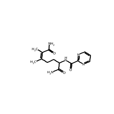 CC(CCC(NC(=O)c1ncccn1)C(N)=O)=C(C)C(N)=O